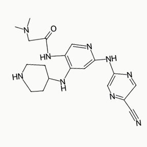 CN(C)CC(=O)Nc1cnc(Nc2cnc(C#N)cn2)cc1NC1CCNCC1